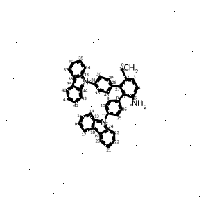 C=Cc1ccc(N)c(-c2ccc(-n3c4ccccc4c4ccccc43)cc2)c1-c1ccc(-n2c3ccccc3c3ccccc32)cc1